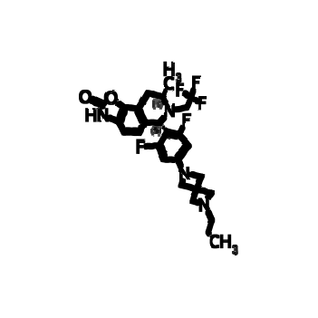 CCCN1CC2(C1)CN(c1cc(F)c([C@@H]3c4ccc5[nH]c(=O)oc5c4C[C@@H](C)N3CC(F)(F)F)c(F)c1)C2